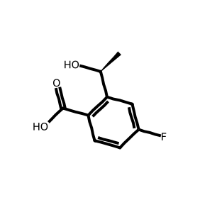 C[C@H](O)c1cc(F)ccc1C(=O)O